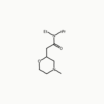 CCCN(CC)C(=O)CC1CN(C)CCO1